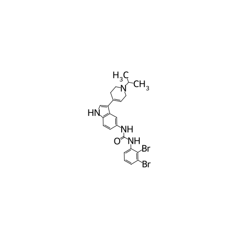 CC(C)N1CC=C(c2c[nH]c3ccc(NC(=O)Nc4cccc(Br)c4Br)cc23)CC1